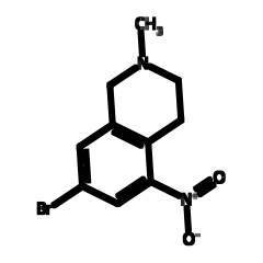 CN1CCc2c(cc(Br)cc2[N+](=O)[O-])C1